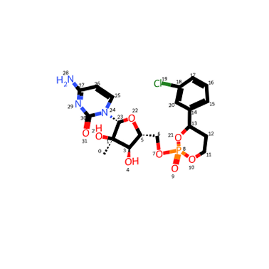 C[C@@]1(O)[C@H](O)[C@@H](COP2(=O)OCCC(c3cccc(Cl)c3)O2)O[C@H]1n1ccc(N)nc1=O